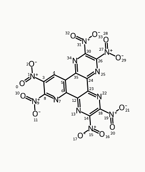 O=[N+]([O-])c1cc2c(nc1[N+](=O)[O-])c1nc([N+](=O)[O-])c([N+](=O)[O-])nc1c1nc([N+](=O)[O-])c([N+](=O)[O-])nc21